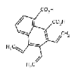 C=Cc1c(C=C)c(C(=O)O)c2c(C(=O)O)cccc2c1C=C